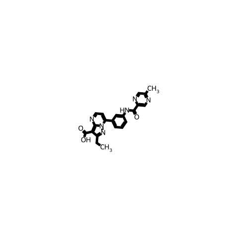 CCc1nn2c(-c3cccc(NC(=O)c4cnc(C)cn4)c3)ccnc2c1C(=O)O